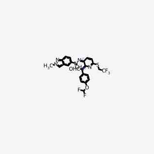 CN(/N=C1/C=CC(SCC(F)(F)F)=N/C1=C(/C=O)c1ccc(OC(F)F)cc1)c1ccc2nn(C)cc2c1